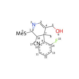 CSC1=NC=C(CO)C(C)(c2ccccc2F)C1C#N